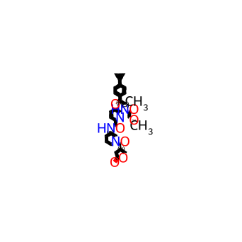 COCC(=O)N[C@@H](C)[C@H](Oc1ccc(C(=O)N[C@H]2CCCN(C(=O)[C@H]3COC(=O)C3)C2)nc1)c1ccc(C2CC2)cc1